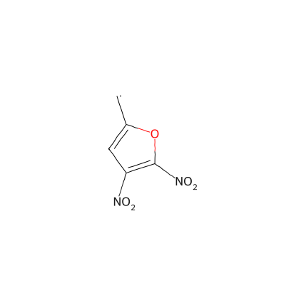 [CH2]c1cc([N+](=O)[O-])c([N+](=O)[O-])o1